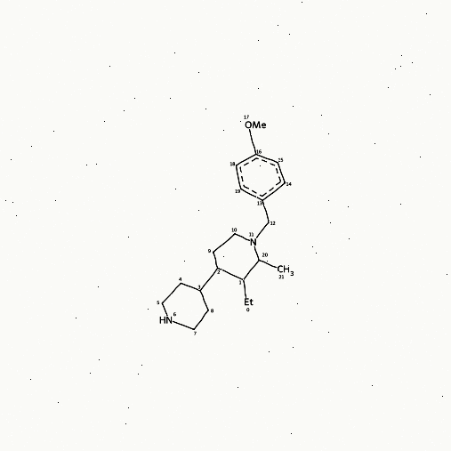 [CH2]CC1C(C2CCNCC2)CCN(Cc2ccc(OC)cc2)C1C